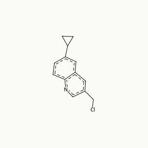 ClCc1cnc2ccc(C3CC3)cc2c1